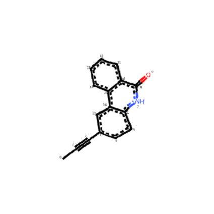 CC#Cc1ccc2[nH]c(=O)c3ccccc3c2c1